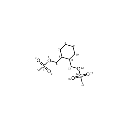 CS(=O)(=O)OCC1CCCCC1COS(C)(=O)=O